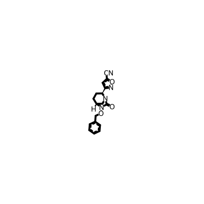 N#Cc1cc([C@@H]2CC[C@@H]3CN2C(=O)N3OCc2ccccc2)no1